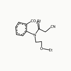 CCOCCN(C(=O)CC#N)c1ccccc1C(=O)OCC